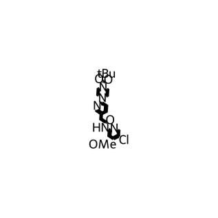 COc1cc(NC(=O)Cc2ccc(N3CCN(C(=O)OC(C)(C)C)CC3)nc2)ncc1Cl